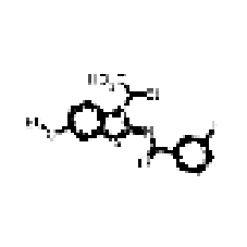 CCOc1ccc2c(c1)sc(=NC(=O)c1cccc(F)c1)n2C(CC)C(=O)O